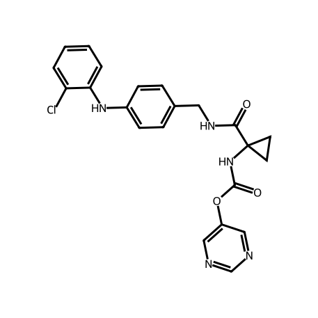 O=C(NC1(C(=O)NCc2ccc(Nc3ccccc3Cl)cc2)CC1)Oc1cncnc1